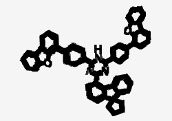 c1ccc2c(c1)-c1c(C3=NC(c4ccc(-c5cccc6c5oc5ccccc56)cc4)NC(c4ccc(-c5cccc6c5oc5ccccc56)cc4)=N3)cccc1C21CCCC1